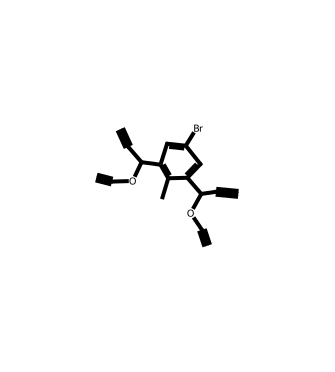 C#COC(C#C)c1cc(Br)cc(C(C#C)OC#C)c1C